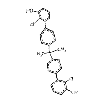 CC(C)(c1ccc(-c2cccc(O)c2Cl)cc1)c1ccc(-c2cccc(O)c2Cl)cc1